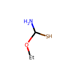 CCOC(N)S